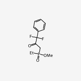 CCP(=O)(CC(=O)C(F)(F)c1ccccc1)OC